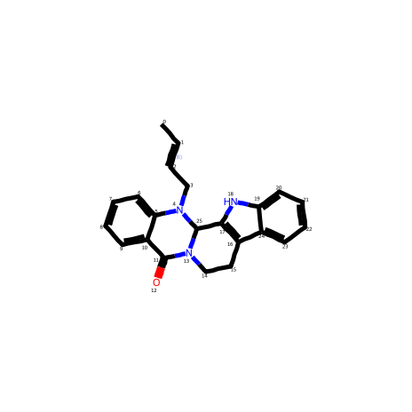 C/C=C/CN1c2ccccc2C(=O)N2CCc3c([nH]c4ccccc34)C21